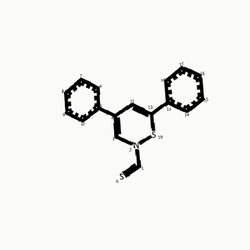 S=CN1C=C(c2ccccc2)C=C(c2ccccc2)S1